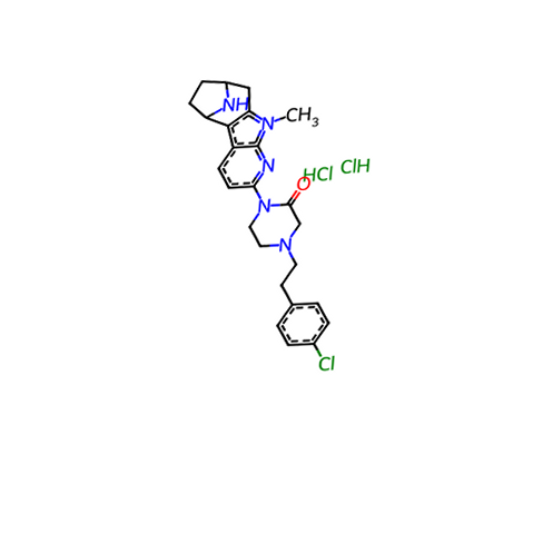 Cl.Cl.Cn1c2c(c3ccc(N4CCN(CCc5ccc(Cl)cc5)CC4=O)nc31)C1CCC(C2)N1